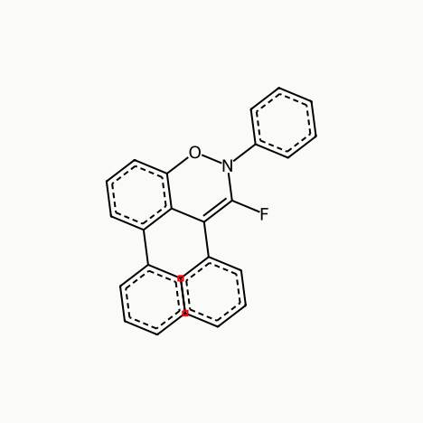 FC1=C(c2ccccc2)c2c(cccc2-c2ccccc2)ON1c1ccccc1